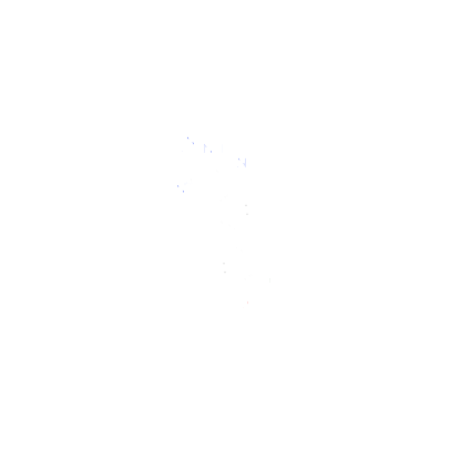 COc1ccc(-c2ccc(/C(N)=C(\C#N)NN)cc2)cc1Cl